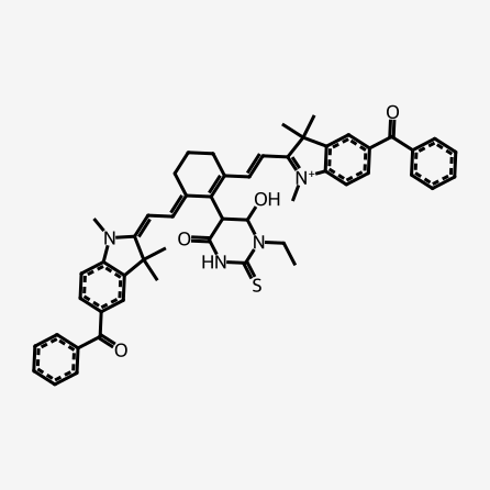 CCN1C(=S)NC(=O)C(C2=C(/C=C/C3=[N+](C)c4ccc(C(=O)c5ccccc5)cc4C3(C)C)CCC/C2=C\C=C2\N(C)c3ccc(C(=O)c4ccccc4)cc3C2(C)C)C1O